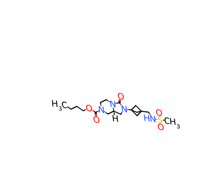 CCCCOC(=O)N1CCN2C(=O)N(C34CC(CNS(C)(=O)=O)(C3)C4)C[C@@H]2C1